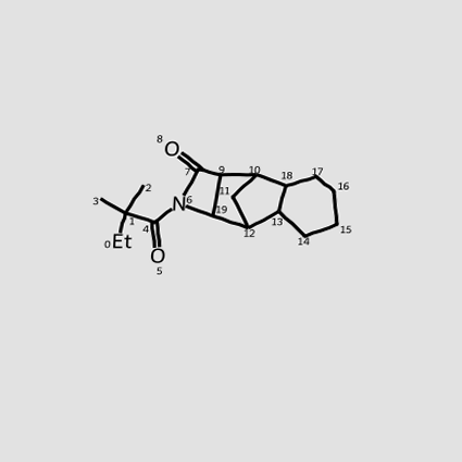 CCC(C)(C)C(=O)N1C(=O)C2C3CC(C4CCCCC43)C21